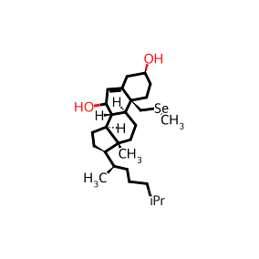 C[Se]C[C@]12CC[C@H](O)CC1=CC(O)[C@@H]1[C@@H]2CC[C@]2(C)[C@@H]([C@H](C)CCCC(C)C)CC[C@@H]12